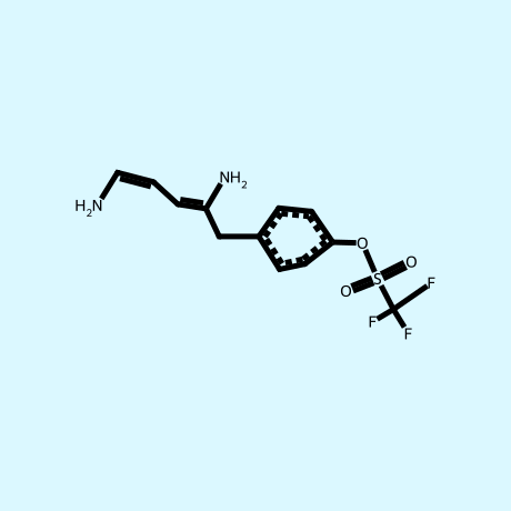 N/C=C\C=C(/N)Cc1ccc(OS(=O)(=O)C(F)(F)F)cc1